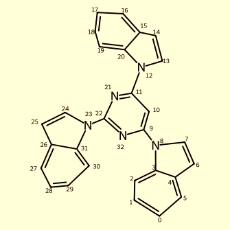 c1ccc2c(c1)ccn2-c1cc(-n2ccc3ccccc32)nc(-n2ccc3ccccc32)n1